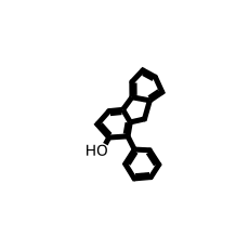 Oc1ccc2c(c1-c1ccccc1)Cc1ccccc1-2